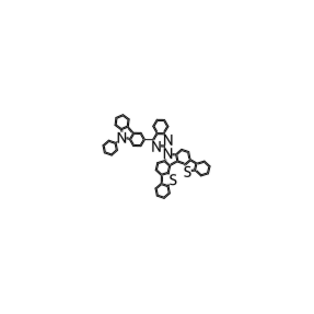 c1ccc(-n2c3ccccc3c3cc(-c4nc(-n5c6ccc7c8ccccc8sc7c6c6c7sc8ccccc8c7ccc65)nc5ccccc45)ccc32)cc1